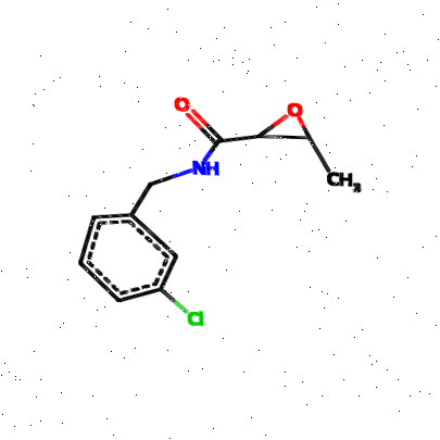 CC1OC1C(=O)NCc1cccc(Cl)c1